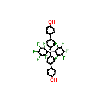 Oc1ccc(-c2ccc([B-](c3ccc(-c4ccc(O)cc4)cc3)(c3c(F)c(F)c(F)c(F)c3F)c3c(F)c(F)c(F)c(F)c3F)cc2)cc1